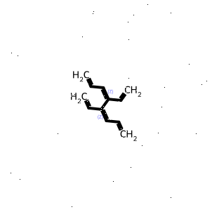 C=C/C=C(C=C)\C(C=C)=C/C=C